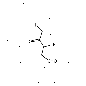 O=CCC(Br)C(=O)CI